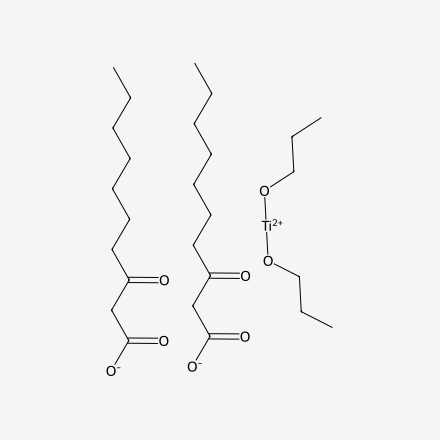 CCCCCCCC(=O)CC(=O)[O-].CCCCCCCC(=O)CC(=O)[O-].CCC[O][Ti+2][O]CCC